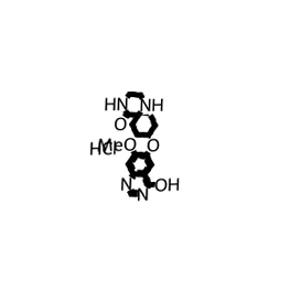 COc1cc2ncnc(O)c2cc1O[C@H]1CC[C@@]2(CC1)NCCNC2=O.Cl